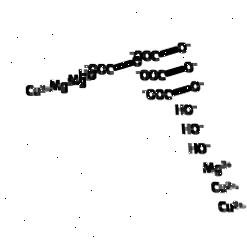 O=C([O-])[O-].O=C([O-])[O-].O=C([O-])[O-].O=C([O-])[O-].[Cu+2].[Cu+2].[Cu+2].[Mg+2].[Mg+2].[Mg+2].[OH-].[OH-].[OH-].[OH-]